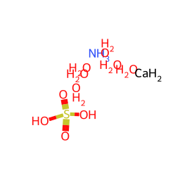 N.O.O.O.O.O.O.O=S(=O)(O)O.[CaH2]